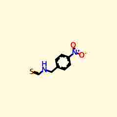 O=[N+]([O-])c1ccc(CNC=S)cc1